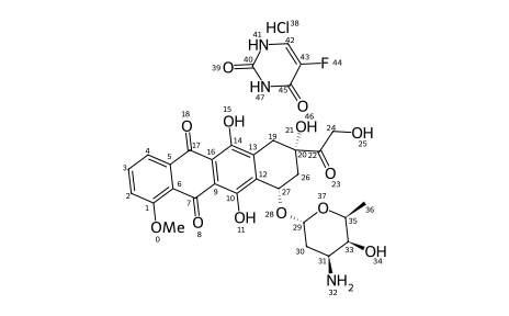 COc1cccc2c1C(=O)c1c(O)c3c(c(O)c1C2=O)C[C@@](O)(C(=O)CO)C[C@@H]3O[C@H]1C[C@H](N)[C@H](O)[C@H](C)O1.Cl.O=c1[nH]cc(F)c(=O)[nH]1